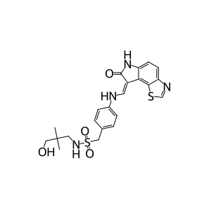 CC(C)(CO)CNS(=O)(=O)Cc1ccc(NC=C2C(=O)Nc3ccc4ncsc4c32)cc1